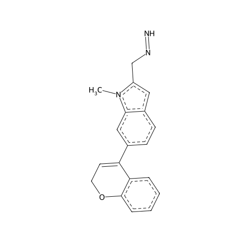 Cn1c(CN=N)cc2ccc(C3=CCOc4ccccc43)cc21